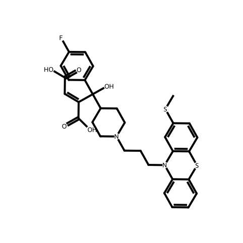 CSc1ccc2c(c1)N(CCCN1CCC(C(O)(/C(=C\C(=O)O)C(=O)O)c3ccc(F)cc3)CC1)c1ccccc1S2